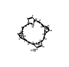 C1=Cc2cc3ccc(cc4nc(cc5ccc(cc1n2)[nH]5)C=C4)[nH]3.[Tl]